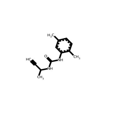 C#CC(C)NC(=O)Nc1cc(C)ccc1C